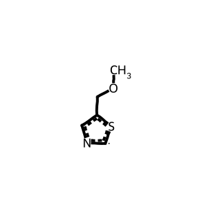 COCc1cn[c]s1